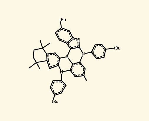 Cc1cc2c3c(c1)N(c1ccc(C(C)(C)C)cc1)c1sc4cc(C(C)(C)C)ccc4c1B3c1cc3c(cc1N2c1ccc(C(C)(C)C)cc1)C(C)(C)CCC3(C)C